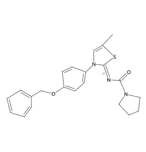 Cc1cn(-c2ccc(OCc3ccccc3)cc2)/c(=N/C(=O)N2CCCC2)s1